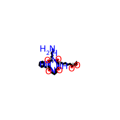 NCCCC[C@@H]1NC(=O)[C@H](CCCCCC(=O)[C@@H]2CO2)NC(=O)C2CCCN2C(=O)[C@H](Cc2ccccc2)NC1=O